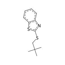 CC(C)(C)CSc1nc2ccccc2s1